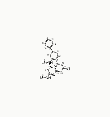 CCNc1nc(NCC)c2c(-c3ccc(-c4ccccc4)cc3)cc(Cl)cc2n1